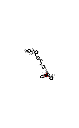 Nc1nnc(-c2ccccc2O)cc1N1CC2CCC(C1)N2c1cccc(OCCN2CCN(C(=O)CCC(=O)N3CCN(Cc4cccc5c4C(=O)N(C4CCC(=O)NC4=O)C5=O)CC3)CC2)c1